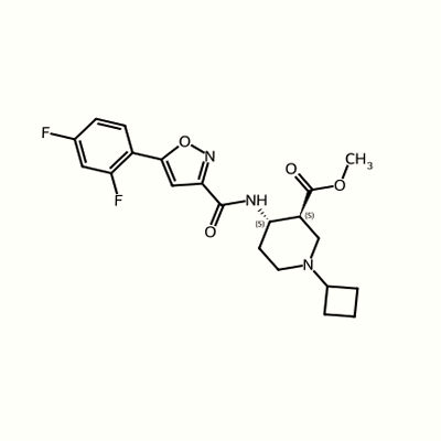 COC(=O)[C@H]1CN(C2CCC2)CC[C@@H]1NC(=O)c1cc(-c2ccc(F)cc2F)on1